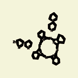 [Zn].c1ccc2c(c1)-c1nc-2nc2[nH]c(nc3nc(nc4[nH]c(n1)c1ccccc41)-c1ccccc1-3)c1ccccc21.c1ccncc1.c1ccncc1.c1ccncc1.c1ccncc1